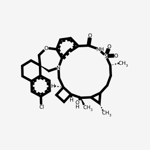 C[C@H]1C2CC[C@@H](C)S(=O)(=O)NC(=O)c3ccc4c(c3)N(C[C@@H]3CC[C@H]3[C@@](C)(O)C21)C[C@@]1(CCCc2cc(Cl)ccc21)CO4